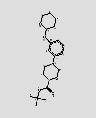 CC(C)(C)OC(=O)N1CCN(c2cccc(OC3CCCCO3)c2)CC1